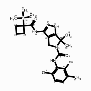 Cc1ccc(Cl)c(NC(=O)N2Cc3c(NC(=O)C4(S(C)(C)C)CCC4)n[nH]c3C2(C)C)c1F